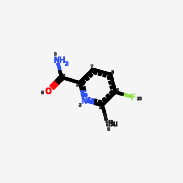 CC(C)(C)c1nc(C(N)=O)ccc1F